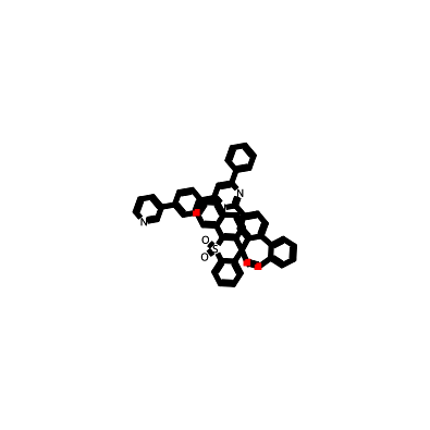 O=S1(=O)c2ccccc2C2(c3ccccc3-c3ccccc3-c3ccc(-c4nc(-c5ccccc5)cc(-c5ccc(-c6cccnc6)cc5)n4)cc32)c2ccc3ccccc3c21